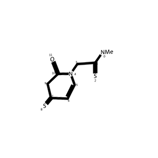 CNC(=S)CN1C=CC(=S)CC1=O